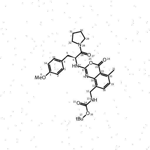 COc1ccc(C[C@H](Nc2nc3c(CNC(=O)OC(C)(C)C)ccc(C)c3c(=O)o2)C(=O)N2CCCC2)cc1